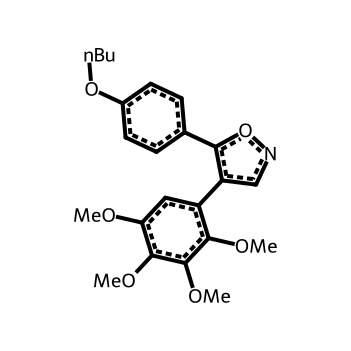 CCCCOc1ccc(-c2oncc2-c2cc(OC)c(OC)c(OC)c2OC)cc1